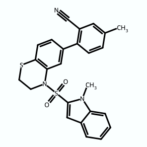 Cc1ccc(-c2ccc3c(c2)N(S(=O)(=O)c2cc4ccccc4n2C)CCS3)c(C#N)c1